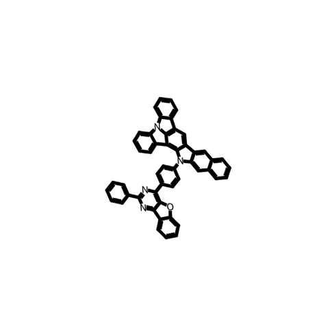 c1ccc(-c2nc(-c3ccc(-n4c5cc6ccccc6cc5c5cc6c7ccccc7n7c8ccccc8c(c54)c67)cc3)c3oc4ccccc4c3n2)cc1